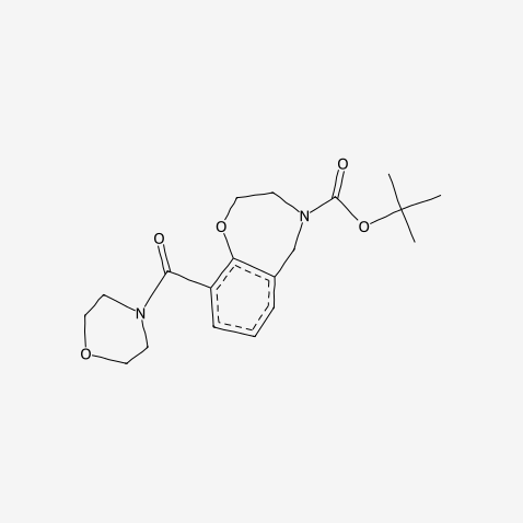 CC(C)(C)OC(=O)N1CCOc2c(cccc2C(=O)N2CCOCC2)C1